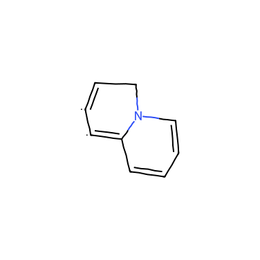 [C]1=CCN2C=CC=CC2=[C]1